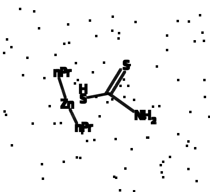 CC[CH2][Zn][CH2]CC.NC(=S)S